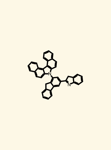 c1ccc2c(c1)CC(c1cc3c(c(-n4c5ccc6ccccc6c5c5c6ccccc6ccc54)c1)Cc1ccccc1-3)=N2